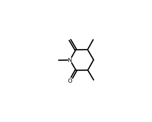 C=C1C(C)CC(C)C(=O)N1C